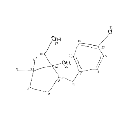 CC1(C)CCC(Cc2ccc(Cl)cc2)C1(O)CO